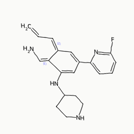 C=C/C=c1/cc(-c2cccc(F)n2)cc(NC2CCNCC2)/c1=C/N